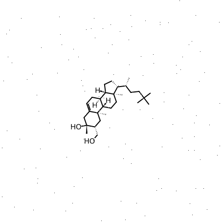 C[C@H](CCC(C)(C)C)[C@H]1CC[C@H]2[C@@H]3CC=C4C[C@@](C)(O)[C@@H](CO)C[C@]4(C)[C@H]3CC[C@]12C